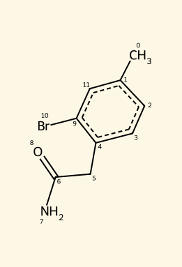 Cc1ccc(CC(N)=O)c(Br)c1